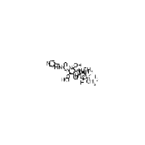 C[C@@H]1[C@H]2C[C@@H](C[C@H]1Nc1c(O)nn(CC(=O)NCc3ccncc3)c(=O)c1Cl)C2(C)C.Cl